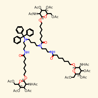 CC(=O)NC1C(OC(C)=O)[C@@H](OC(C)=O)C(COC(C)=O)O[C@H]1OCCCCCCC(=O)NCCCN(CCCCN(CCCNC(=O)CCCCCCO[C@@H]1OC(COC(C)=O)[C@H](OC(C)=O)C(OC(C)=O)C1NC(C)=O)C(c1ccccc1)(c1ccccc1)c1ccccc1)C(=O)CCCCCCO[C@@H]1OC(COC(C)=O)[C@H](OC(C)=O)C(OC(C)=O)C1NC(C)=O